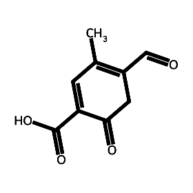 CC1=C(C=O)CC(=O)C(C(=O)O)=C1